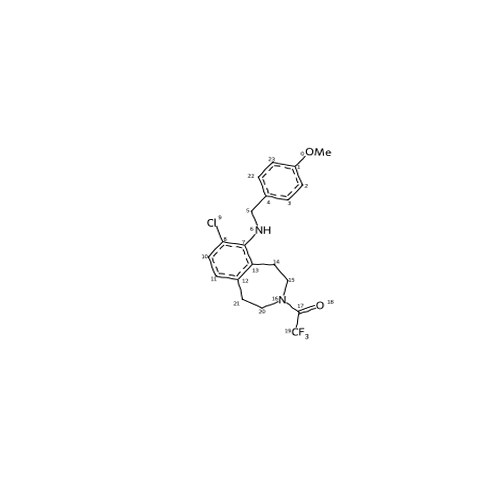 COc1ccc(CNc2c(Cl)ccc3c2CCN(C(=O)C(F)(F)F)CC3)cc1